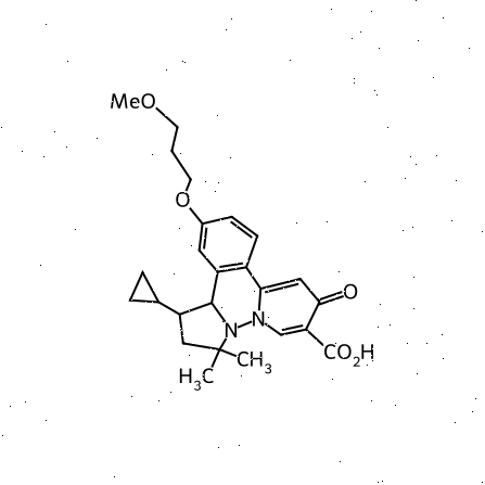 COCCCOc1ccc2c(c1)C1C(C3CC3)CC(C)(C)N1n1cc(C(=O)O)c(=O)cc1-2